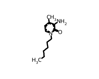 CCCCCCn1ccc(C)c(N)c1=O